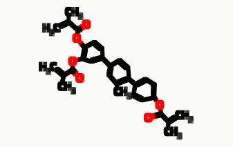 C=C(C)C(=O)Oc1ccc(-c2ccc(-c3ccc(OC(=O)C(=C)C)c(OC(=O)C(=C)C)c3)cc2C)cc1